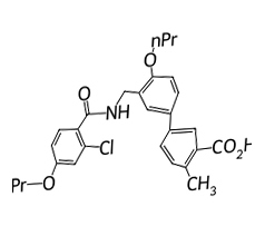 CCCOc1ccc(-c2ccc(C)c(C(=O)O)c2)cc1CNC(=O)c1ccc(OC(C)C)cc1Cl